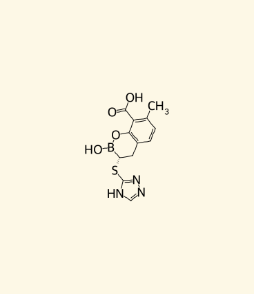 Cc1ccc2c(c1C(=O)O)OB(O)[C@@H](Sc1nnc[nH]1)C2